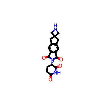 O=C1CC[C@@H](N2C(=O)c3cc4c(cc3C2=O)CC2(CNC2)C4)C(=O)N1